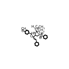 COc1ccc(CO[C@@H](C=Cc2ccccc2)C(CCS(=O)(=O)c2ccccc2)NC(=O)OC(C)(C)C)cc1